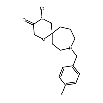 CCN1C[C@]2(CCCN(Cc3ccc(F)cc3)CC2)OCC1=O